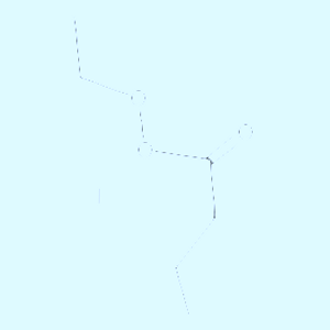 CCCC(=O)OOCC.[Ti]